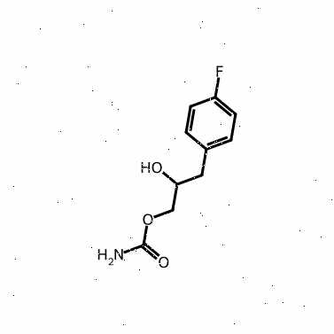 NC(=O)OCC(O)Cc1ccc(F)cc1